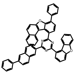 c1ccc(-c2ccc3cc(-c4nc(-c5cccc6oc7ccccc7c56)nc(-c5ccc(-c6ccccc6)c6oc7ccc8ccccc8c7c56)n4)ccc3c2)cc1